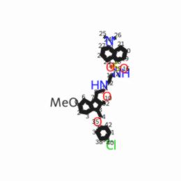 COc1ccc2c(c1)C(CC(=O)NCCNS(=O)(=O)c1cccc3c(N(C)C)cccc13)=C(C)C2COc1ccc(Cl)cc1